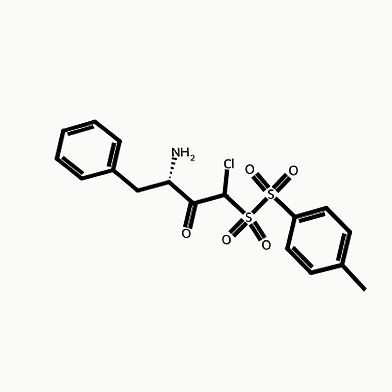 Cc1ccc(S(=O)(=O)S(=O)(=O)[C](Cl)C(=O)[C@@H](N)Cc2ccccc2)cc1